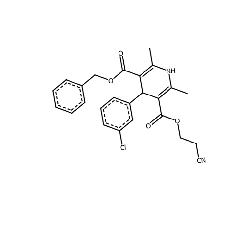 CC1=C(C(=O)OCCC#N)C(c2cccc(Cl)c2)C(C(=O)OCc2ccccc2)=C(C)N1